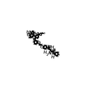 CCSNc1ccc(Oc2cccc(OCCOC3CCN(/C(N)=C/C=C(\N)C(=O)NC4CCCCC4)CC3)c2)c(-c2cn(C)c(=O)c3[nH]ccc23)c1